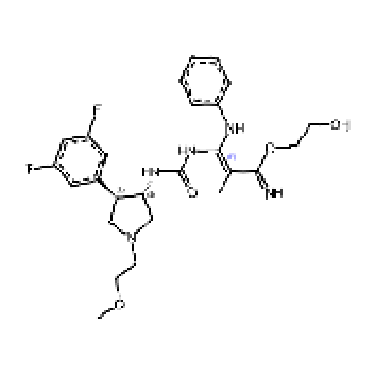 COCCN1C[C@@H](NC(=O)N/C(Nc2ccccc2)=C(\C)C(=N)OCCO)[C@H](c2cc(F)cc(F)c2)C1